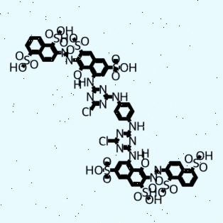 O=S(=O)(O)c1cc(Nc2nc(Cl)nc(Nc3ccc(Nc4nc(Cl)nc(Nc5cc(S(=O)(=O)O)cc6cc(S(=O)(=O)O)c(N=Nc7ccc8c(S(=O)(=O)O)cccc8c7S(=O)(=O)O)c(O)c56)n4)cc3)n2)c2c(O)c(N=Nc3ccc4c(S(=O)(=O)O)cccc4c3S(=O)(=O)O)c(S(=O)(=O)O)cc2c1